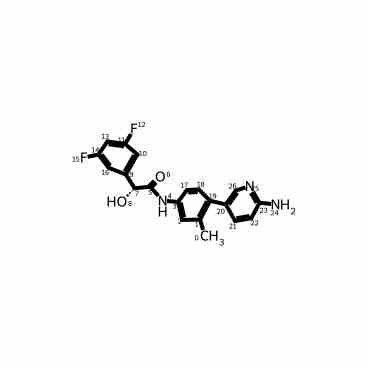 Cc1cc(NC(=O)[C@H](O)c2cc(F)cc(F)c2)ccc1-c1ccc(N)nc1